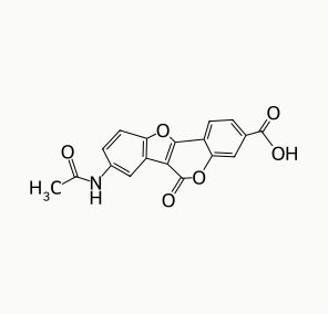 CC(=O)Nc1ccc2oc3c4ccc(C(=O)O)cc4oc(=O)c3c2c1